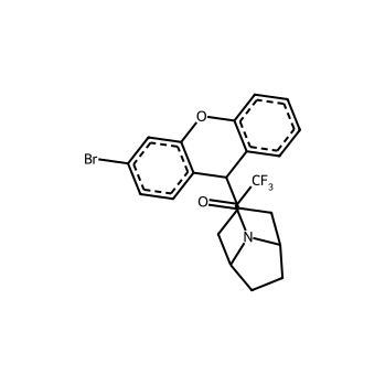 O=C(N1C2CCC1CC(C1c3ccccc3Oc3cc(Br)ccc31)C2)C(F)(F)F